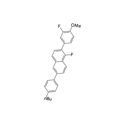 CCCCc1ccc(-c2ccc3c(F)c(-c4ccc(OC)c(F)c4)ccc3c2)cc1